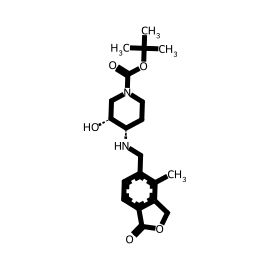 Cc1c(CN[C@H]2CCN(C(=O)OC(C)(C)C)C[C@H]2O)ccc2c1COC2=O